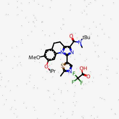 COc1cc2c(cc1OC(C)C)-n1c(-c3cnc(C)s3)nc(C(=O)N(C)C(C)(C)C)c1CC2.O=C(O)C(F)(F)F